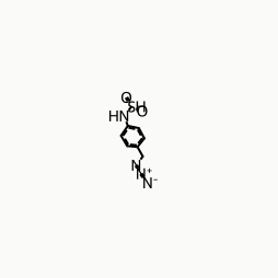 [N-]=[N+]=NCc1ccc(N[SH](=O)=O)cc1